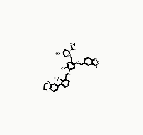 Cc1c(COc2cc(OCc3ccc4nsnc4c3)c(CN3C[C@H](O)C[C@@H]3C(=O)O)cc2Cl)cccc1-c1ccc2c(c1)OCCO2